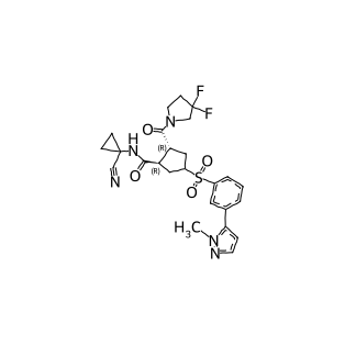 Cn1nccc1-c1cccc(S(=O)(=O)C2C[C@@H](C(=O)NC3(C#N)CC3)[C@H](C(=O)N3CCC(F)(F)C3)C2)c1